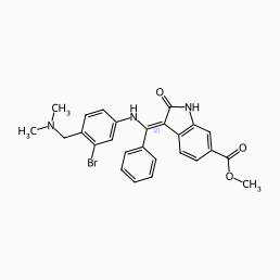 COC(=O)c1ccc2c(c1)NC(=O)/C2=C(\Nc1ccc(CN(C)C)c(Br)c1)c1ccccc1